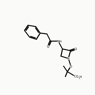 CC(C)(ON1CC(NC(=O)Cc2ccccc2)C1=O)C(=O)O